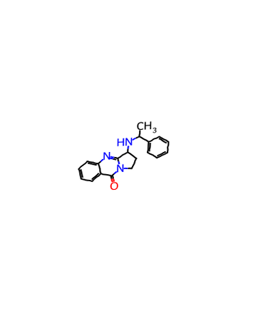 CC(NC1CCn2c1nc1ccccc1c2=O)c1ccccc1